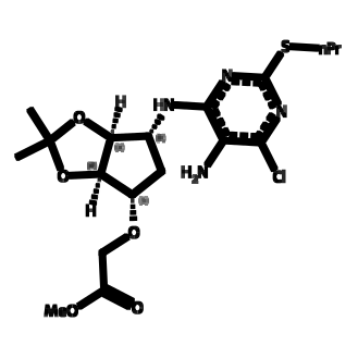 CCCSc1nc(Cl)c(N)c(N[C@@H]2C[C@H](OCC(=O)OC)[C@H]3OC(C)(C)O[C@H]32)n1